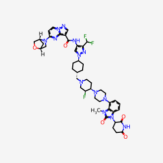 Cn1c(=O)n(C2CCC(=O)NC2=O)c2cccc(N3CCN([C@@H]4CCN(C[C@H]5CC[C@H](n6cc(NC(=O)c7cnn8ccc(N9C[C@H]%10C[C@@H]9CO%10)nc78)c(C(F)F)n6)CC5)C[C@@H]4F)CC3)c21